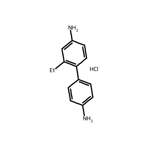 CCc1cc(N)ccc1-c1ccc(N)cc1.Cl